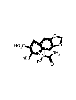 CCCCc1nc2cc3c(cc2cc1C(=O)O)OCO3.CCNC(N)=O